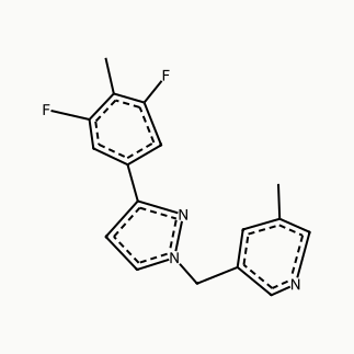 Cc1cncc(Cn2ccc(-c3cc(F)c(C)c(F)c3)n2)c1